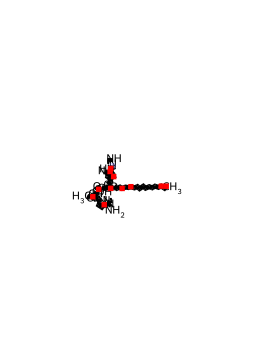 CCCCCCCCCCCCCCCCCCOC[C@H](COP(=O)(O)OC[C@](C)(CCc1ccc2c(N)ncnn12)OC)OCc1ccc(N/C=N\C=N)c(C#N)c1